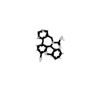 O=C(N1Cc2cncnc2-c2ccc(Cl)cc2C1c1ccccc1Cl)C(F)(F)F